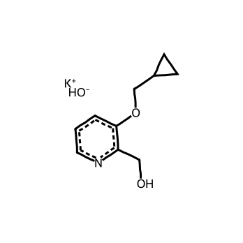 OCc1ncccc1OCC1CC1.[K+].[OH-]